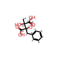 COC(Cc1ccccc1)(C(=O)O)C(C)(O)C(=O)O